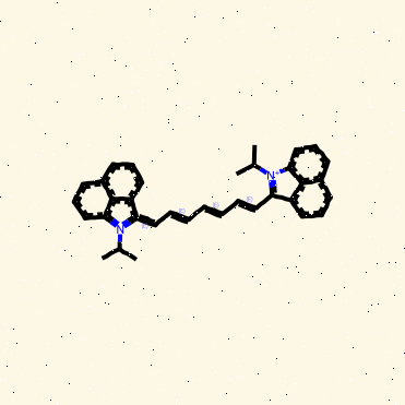 CC(C)n1/c(=C/C=C/C=C/C=C/C2=[N+](C(C)C)c3cccc4cccc2c34)c2cccc3cccc1c32